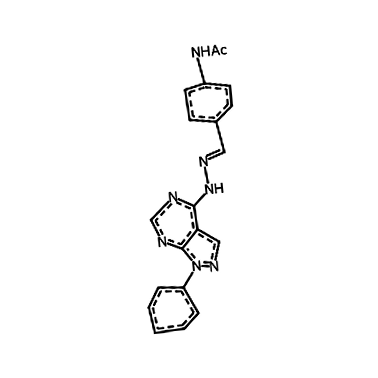 CC(=O)Nc1ccc(C=NNc2ncnc3c2cnn3-c2ccccc2)cc1